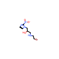 O=[N+]([O-])c1nccn1CC(O)CNCCBr